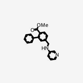 COC(=O)c1ccc(CNc2cccnc2)cc1-c1ccccc1